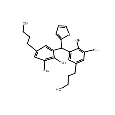 CC(C)(C)c1cc(CCCO)cc(C(c2cccs2)c2cc(CCCO)cc(C(C)(C)C)c2O)c1O